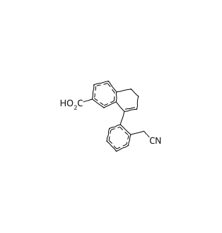 N#CCc1ccccc1C1=CCCc2ccc(C(=O)O)cc21